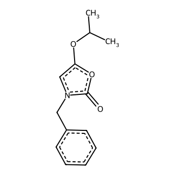 CC(C)Oc1cn(Cc2ccccc2)c(=O)o1